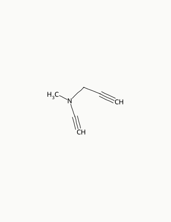 C#CCN(C)C#C